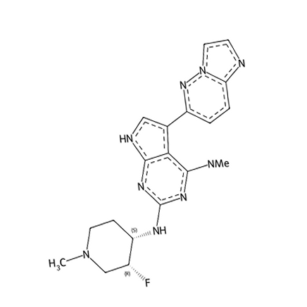 CNc1nc(N[C@H]2CCN(C)C[C@H]2F)nc2[nH]cc(-c3ccc4nccn4n3)c12